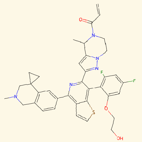 C=CC(=O)N1CCn2nc(-c3nc(-c4ccc5c(c4)C4(CC4)CN(C)C5)c4ccsc4c3-c3c(F)cc(F)cc3OCCO)cc2C1C